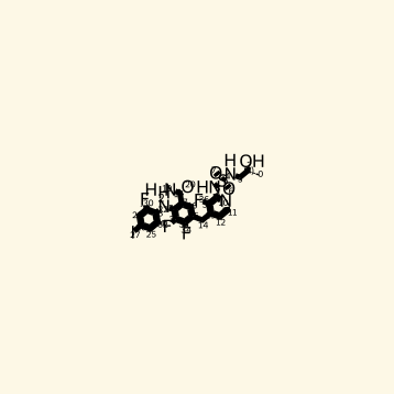 C[C@@H](O)CNS(=O)(=O)Nc1nccc(Cc2cc(C(N)=O)c(Nc3ccc(I)cc3F)c(F)c2F)c1F